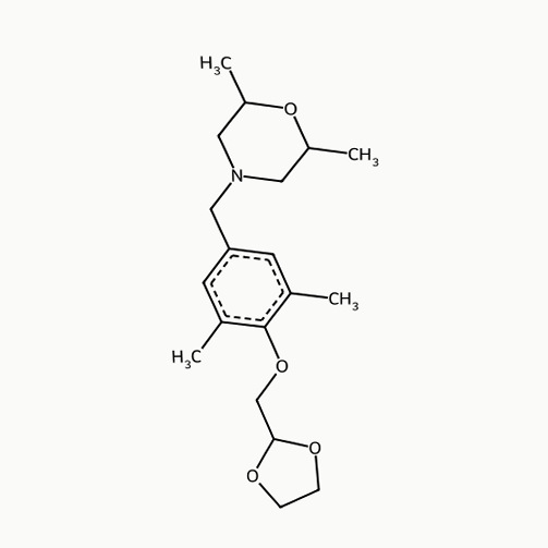 Cc1cc(CN2CC(C)OC(C)C2)cc(C)c1OCC1OCCO1